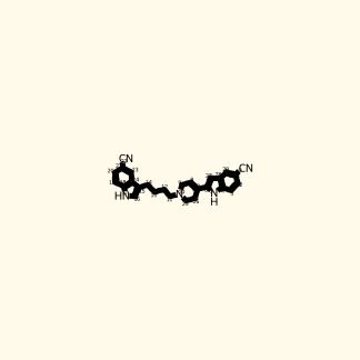 N#Cc1ccc2[nH]c(C3=CCN(CCCCc4c[nH]c5ccc(C#N)cc45)CC3)cc2c1